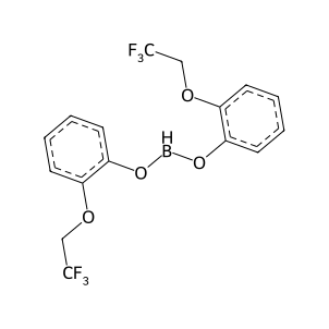 FC(F)(F)COc1ccccc1OBOc1ccccc1OCC(F)(F)F